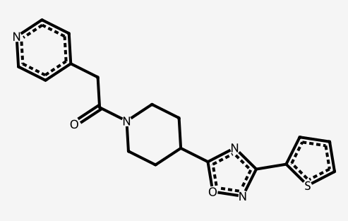 O=C(Cc1ccncc1)N1CCC(c2nc(-c3cccs3)no2)CC1